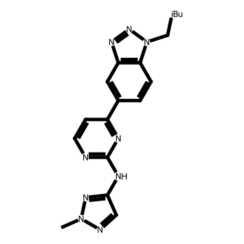 CCC(C)Cn1nnc2cc(-c3ccnc(Nc4cnn(C)n4)n3)ccc21